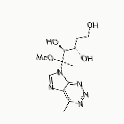 COC(C)([C@@H](O)[C@@H](O)CCO)n1cnc2c(C)nnnc21